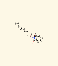 C=CCCCCCCCCON1C(=O)c2ccccc2C1=O